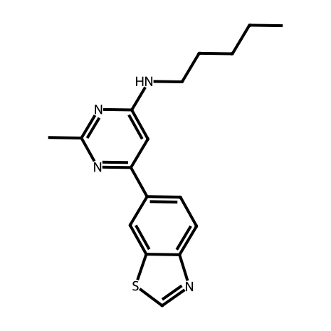 CCCCCNc1cc(-c2ccc3ncsc3c2)nc(C)n1